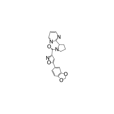 O=C(c1cc(-c2ccc3c(c2)OCO3)on1)N1CCCC1c1ncccn1